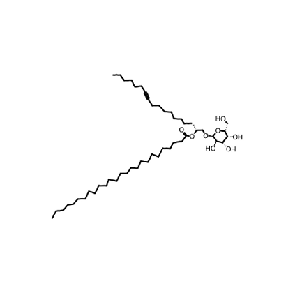 CCCCCCC#CCCCCCCCC[C@H](CO[C@H]1O[C@H](CO)[C@H](O)[C@H](O)[C@H]1O)OC(=O)CCCCCCCCCCCCCCCCCCCCCCCCC